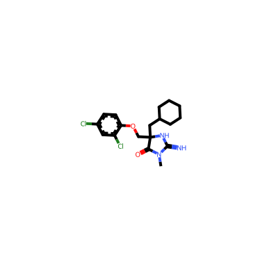 CN1C(=N)NC(COc2ccc(Cl)cc2Cl)(CC2CCCCC2)C1=O